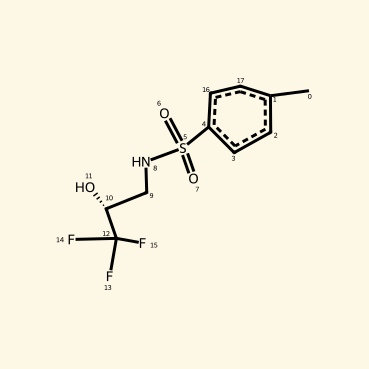 Cc1ccc(S(=O)(=O)NC[C@@H](O)C(F)(F)F)cc1